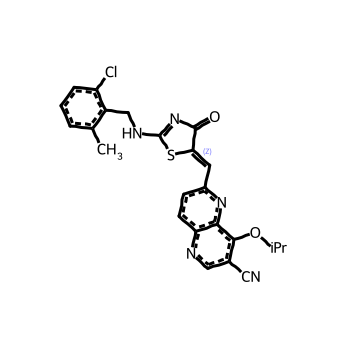 Cc1cccc(Cl)c1CNC1=NC(=O)/C(=C/c2ccc3ncc(C#N)c(OC(C)C)c3n2)S1